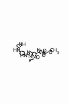 COCCS(=O)(=O)n1cnc(-c2cc3cnc(Nc4ccc(NC5CCNC5)cc4)nc3n(CC3CC3)c2=O)c1